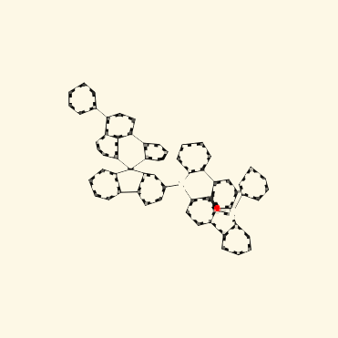 c1ccc(-c2ccccc2N(c2ccc3c(c2)C2(c4ccccc4-3)c3ccccc3-c3ccc(-c4ccccc4)c4cccc2c34)c2ccc3c4ccccc4n(-c4ccccc4)c3c2)cc1